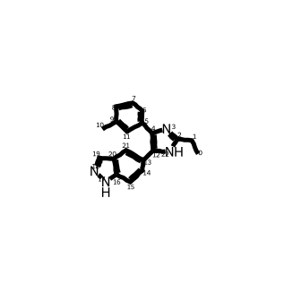 CCc1nc(-c2cccc(C)c2)c(-c2ccc3[nH]ncc3c2)[nH]1